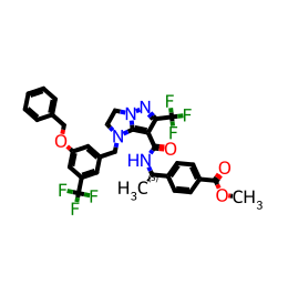 COC(=O)c1ccc([C@H](C)NC(=O)c2c(C(F)(F)F)nn3c2N(Cc2cc(OCc4ccccc4)cc(C(F)(F)F)c2)CC3)cc1